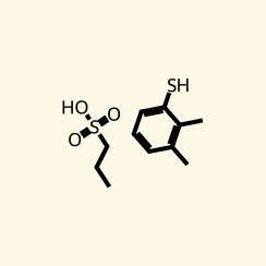 CCCS(=O)(=O)O.Cc1cccc(S)c1C